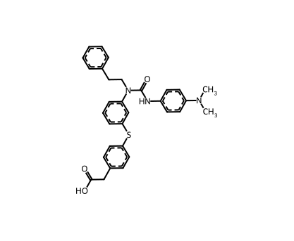 CN(C)c1ccc(NC(=O)N(CCc2ccccc2)c2cccc(Sc3ccc(CC(=O)O)cc3)c2)cc1